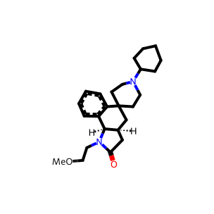 COCCN1C(=O)C[C@@H]2CC3(CCN(C4CCCCC4)CC3)c3ccccc3[C@@H]21